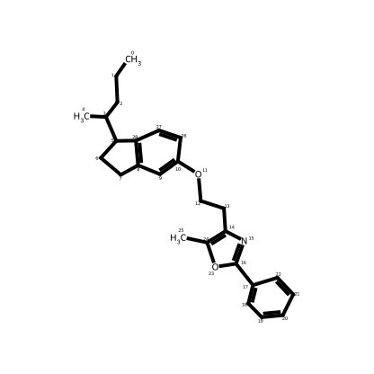 CCCC(C)C1CCc2cc(OCCc3nc(-c4ccccc4)oc3C)ccc21